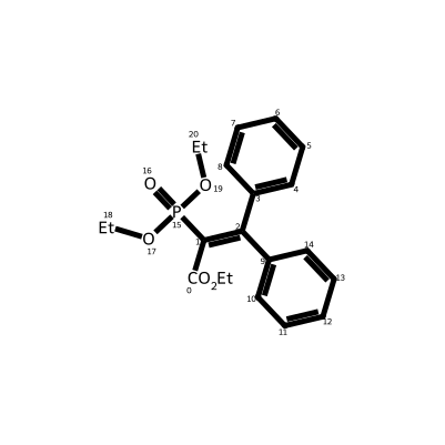 CCOC(=O)C(=C(c1ccccc1)c1ccccc1)P(=O)(OCC)OCC